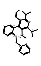 C/C=C\c1c(C(C)C)nc(C(C)C)c(C(C)O)c1-c1ccccc1OCc1ccccc1